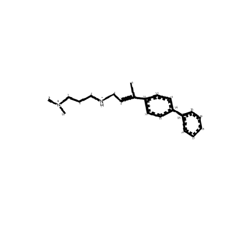 CC(=CCNCCCN(C)C)c1ccc(-c2ccccc2)cc1